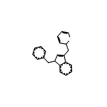 C1=CNC(CC2=CC(Cc3ccccc3)c3ccccc32)C=C1